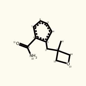 CC1(Cc2ccccc2C(N)=O)COC1